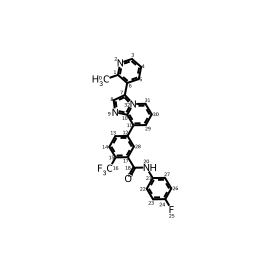 Cc1ncccc1-c1cnc2c(-c3ccc(C(F)(F)F)c(C(=O)Nc4ccc(F)cc4)c3)cccn12